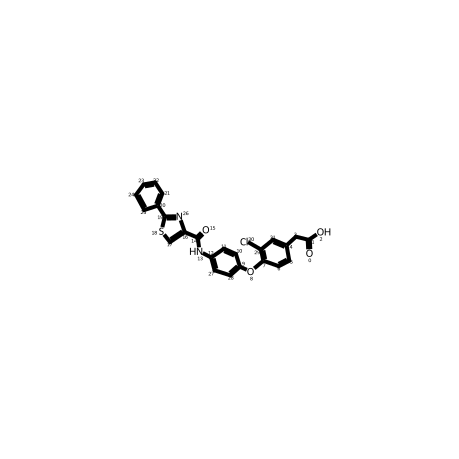 O=C(O)Cc1ccc(Oc2ccc(NC(=O)c3csc(-c4ccccc4)n3)cc2)c(Cl)c1